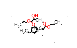 C=CCOC(=O)C(=C)O.C=CCOC(=O)C=C.C=Cc1ccccc1